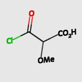 COC(C(=O)O)C(=O)Cl